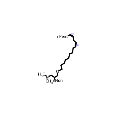 CCCCC/C=C\C/C=C\CCCCCCCCOCC(CCCCCCCCC)CN(C)C